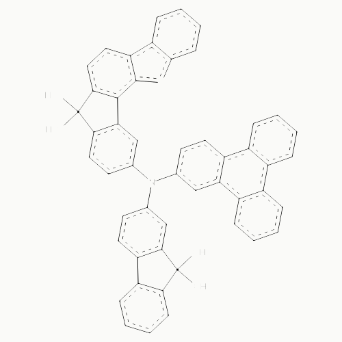 CC1(C)c2ccccc2-c2ccc(N(c3ccc4c(c3)-c3c(ccc5c3sc3ccccc35)C4(C)C)c3ccc4c5ccccc5c5ccccc5c4c3)cc21